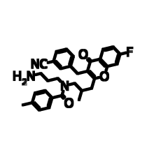 Cc1ccc(C(=O)N(CCCN)CC(C)Cc2oc3cc(F)ccc3c(=O)c2Cc2cccc(C#N)c2)cc1